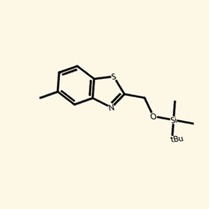 Cc1ccc2sc(CO[Si](C)(C)C(C)(C)C)nc2c1